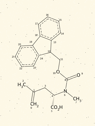 C=C(C)C[C@@H](C(=O)O)N(C)C(=O)OCC1c2ccccc2-c2ccccc21